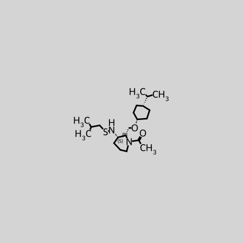 CC(=O)N1CCC[C@H](NSCC(C)C)[C@@H]1CO[C@H]1CC[C@@H](C(C)C)CC1